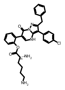 NCCCC[C@@H](N)C(=O)Oc1ccccc1-c1c[nH]c2c(-c3ccc(Cl)cc3)c(Cc3ccccc3)nn2c1=O